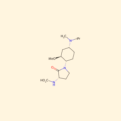 CO[C@H]1C[C@H](N(C)C(C)C)CC[C@@H]1N1CC[C@H](NC(=O)O)C1=O